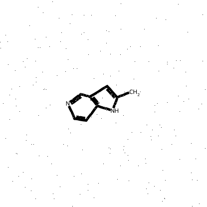 [CH2]c1cc2cnccc2[nH]1